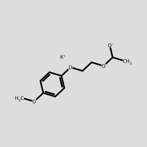 COc1ccc(OCCOC(C)[O-])cc1.[K+]